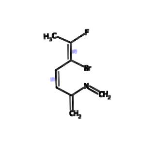 C=NC(=C)/C=C\C(Br)=C(/C)F